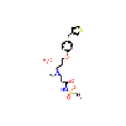 CCN(CCCOc1ccc(Cc2ccsc2)cc1)CCC(=O)NS(C)(=O)=O.O